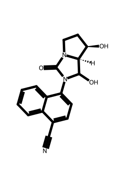 N#Cc1ccc(N2C(=O)N3CC[C@@H](O)[C@H]3C2O)c2ccccc12